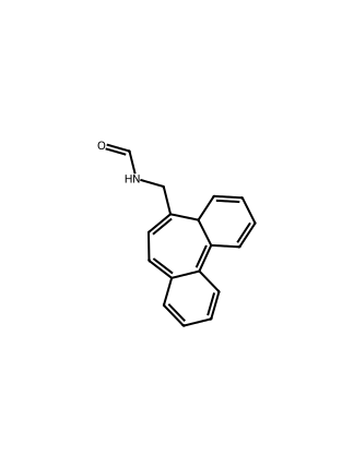 O=CNCC1=CC=c2ccccc2=C2C=CC=CC12